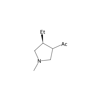 CC[C@@H]1CN(C)CC1C(C)=O